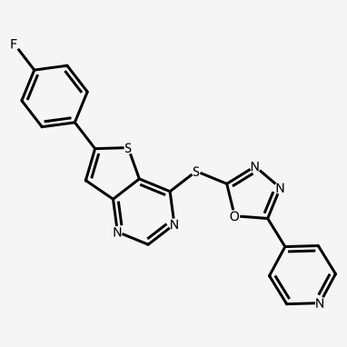 Fc1ccc(-c2cc3ncnc(Sc4nnc(-c5ccncc5)o4)c3s2)cc1